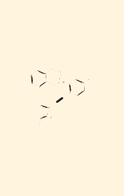 Cc1nc(C#Cc2c[c]c(F)cc2N2CCc3ccccc3C2)co1